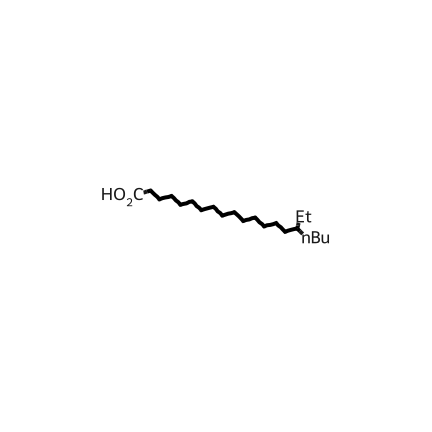 CCCCC(CC)CCCCCCCCCCCCCCC(=O)O